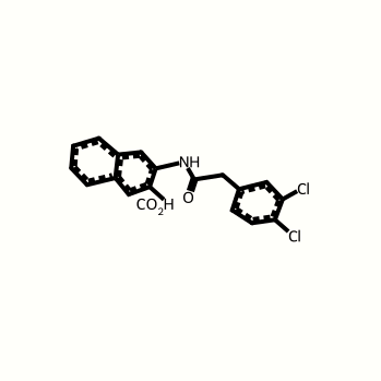 O=C(Cc1ccc(Cl)c(Cl)c1)Nc1cc2ccccc2cc1C(=O)O